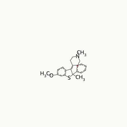 COc1ccc2c(c1)SC(C)(c1ccccc1)C2=C1CCN(C)CC1